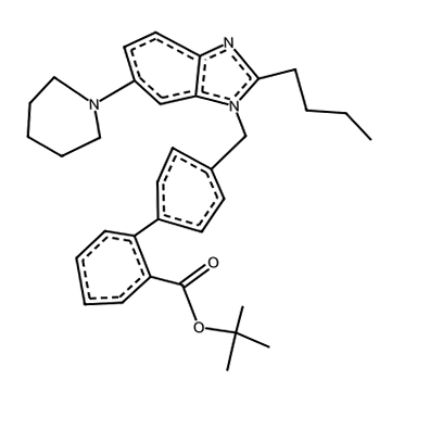 CCCCc1nc2ccc(N3CCCCC3)cc2n1Cc1ccc(-c2ccccc2C(=O)OC(C)(C)C)cc1